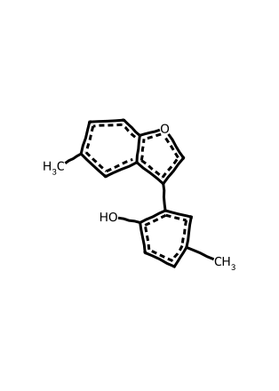 Cc1ccc(O)c(-c2coc3ccc(C)cc23)c1